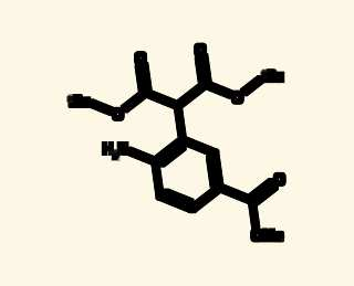 COC(=O)c1ccc(N)c(C(C(=O)OC(C)(C)C)C(=O)OC(C)(C)C)c1